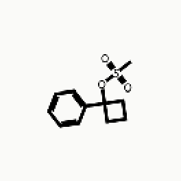 CS(=O)(=O)OC1(c2ccccc2)CCC1